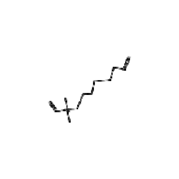 C=CCCCCCC[Si](C)(C)C=C